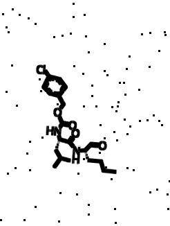 CCCC[C@@H](C=O)NC(=O)[C@H](CC(C)C)NC(=O)OCc1ccc(Cl)cc1